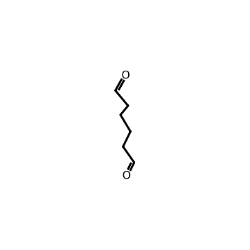 O=CCCCCC=O